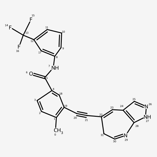 Cc1ccc(C(=O)Nc2cccc(C(F)(F)F)c2)cc1C#CC1=Cc2cn[nH]c2N=CC1